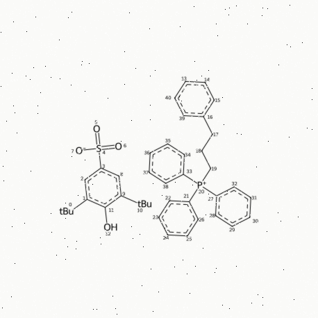 CC(C)(C)c1cc(S(=O)(=O)[O-])cc(C(C)(C)C)c1O.c1ccc(CCC[P+](c2ccccc2)(c2ccccc2)c2ccccc2)cc1